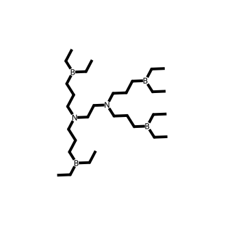 CCB(CC)CCCN(CCCB(CC)CC)CCN(CCCB(CC)CC)CCCB(CC)CC